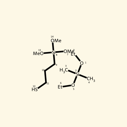 CCO[Si](C)(C)OCC.CO[Si](CCCS)(OC)OC